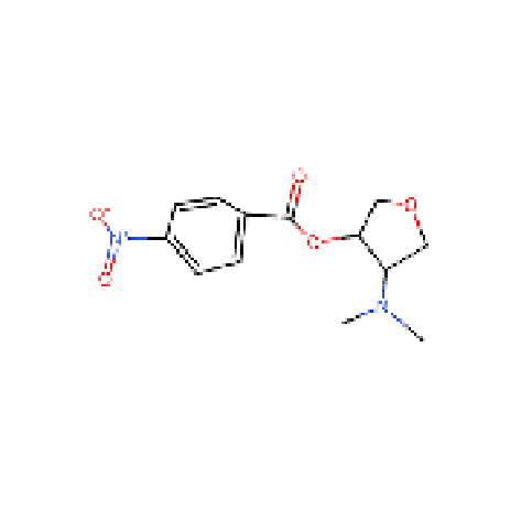 CN(C)C1COCC1OC(=O)c1ccc([N+](=O)[O-])cc1